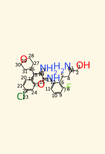 N[C@H](CO)CCc1c(F)cccc1NC(=O)[C@@H](N)C(c1ccc(Cl)cc1)C1CCOCC1